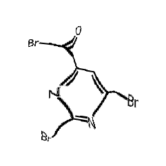 O=C(Br)c1cc(Br)nc(Br)n1